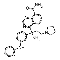 NC(=O)c1cccc2c(C(N)(CCN3CCCC3)c3cccc(Nc4ccccn4)c3)ncnc12